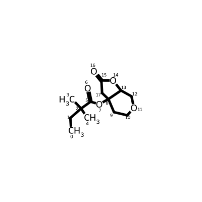 CCC(C)(C)C(=O)OC12CCOCC1OC(=O)C2